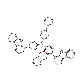 c1ccc(-c2ccc(N(c3ccc(-c4cccc5c4oc4ccccc45)cc3)c3ccc(-c4cccc5c4oc4ccccc45)c4c3C3c5ccccc5C4c4ccccc43)cc2)cc1